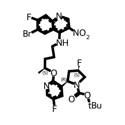 C[C@@H](CCCNc1c([N+](=O)[O-])cnc2cc(F)c(Br)cc12)Oc1ncc(F)cc1[C@H]1C[C@H](F)CN1C(=O)OC(C)(C)C